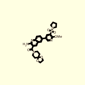 COc1ncc(-c2ccc3nc(N)c(C(=O)N4CCC5(CC4)OCCO5)cc3c2)cc1S(=O)(=O)N1CCCC1